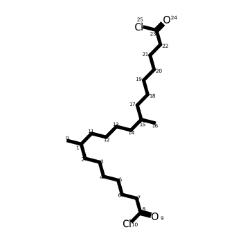 CC(CCCCCCC(=O)Cl)CCCCC(C)CCCCCCC(=O)Cl